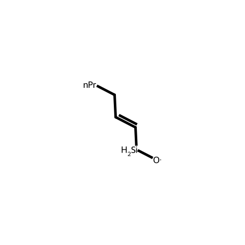 CCCCC=C[SiH2][O]